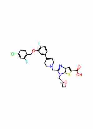 O=C(O)c1cc2nc(CN3CC=C(c4ccc(F)c(OCc5ccc(Cl)cc5F)c4)CC3)n(C[C@@H]3CCO3)c2s1